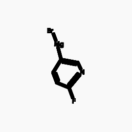 Fc1cc[c]([Mg][Br])cn1